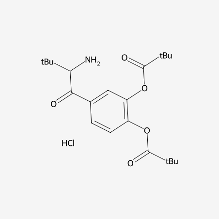 CC(C)(C)C(=O)Oc1ccc(C(=O)C(N)C(C)(C)C)cc1OC(=O)C(C)(C)C.Cl